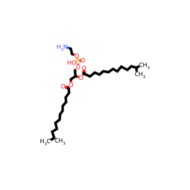 CC(C)CCCCCCCCCCC(=O)OCC(COP(=O)(O)OCCN)OC(=O)CCCCCCCCCCC(C)C